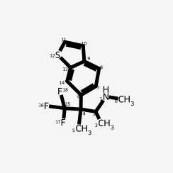 CNC(C)C(C)(c1ccc2ccsc2c1)C(F)(F)F